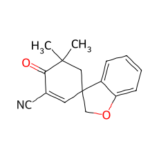 CC1(C)CC2(C=C(C#N)C1=O)COc1ccccc12